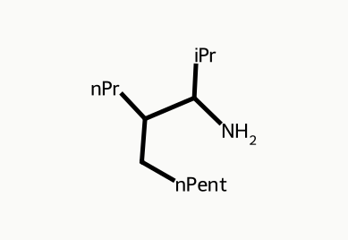 CCCCCCC(CCC)C(N)C(C)C